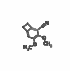 COc1cc2c(c(C#N)c1OC)[CH]C2